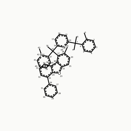 Cc1ccccc1C(C)(C)c1cccc(C(C)(c2c(C)ccc3oc4c(-c5ccccc5)cccc4c23)c2cccc[n+]2C)n1